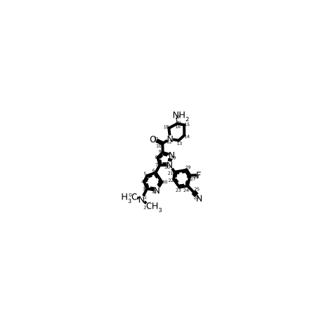 CN(C)c1ccc(-c2cc(C(=O)N3CCC[C@@H](N)C3)nn2-c2ccc(C#N)c(F)c2)cn1